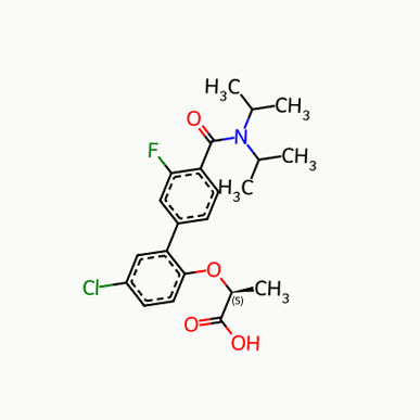 CC(C)N(C(=O)c1ccc(-c2cc(Cl)ccc2O[C@@H](C)C(=O)O)cc1F)C(C)C